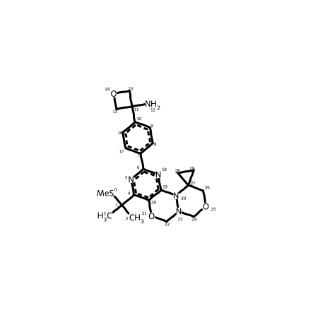 CSC(C)(C)c1nc(-c2ccc(C3(N)COC3)cc2)nc2c1OCN1COCC3(CC3)N21